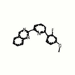 COc1ccc(-c2cccc(-c3ncc4ccccc4n3)n2)c(F)c1